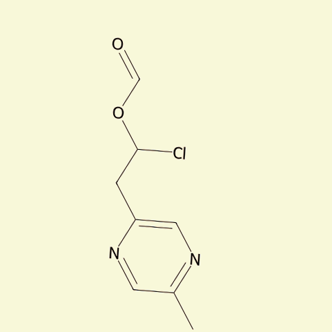 Cc1cnc(CC(Cl)OC=O)cn1